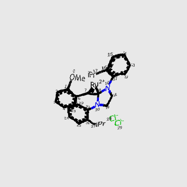 COc1ccccc1[C]1=[Ru+2][C]12N(c1ccccc1C(C)C)CCN2c1ccccc1C(C)C.[Cl-].[Cl-]